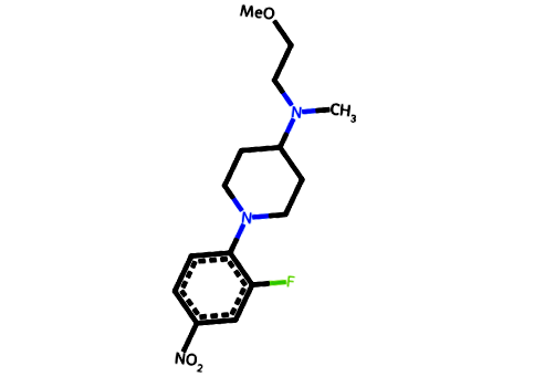 COCCN(C)C1CCN(c2ccc([N+](=O)[O-])cc2F)CC1